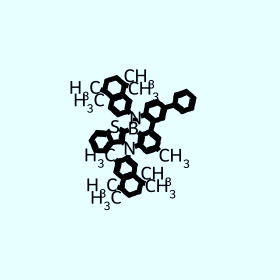 Cc1cc2c3c(c1)N(c1cc4c(cc1C)C(C)(C)CCC4(C)C)c1c(sc4ccccc14)B3N(c1ccc3c(c1)C(C)(C)CCC3(C)C)c1ccc(-c3ccccc3)cc1-2